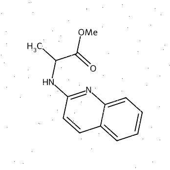 COC(=O)C(C)Nc1ccc2ccccc2n1